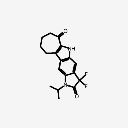 CC(C)N1C(=O)C(F)(F)c2cc3[nH]c4c(c3cc21)CCCCC4=O